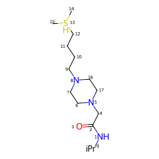 CC(C)NC(=O)CN1CCN(CCCC[SH](C)C)CC1